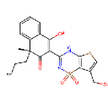 CC(C)CC[C@@]1(C)C(=O)C(C2=NS(=O)(=O)c3c(CO)csc3N2)=C(O)c2ccccc21